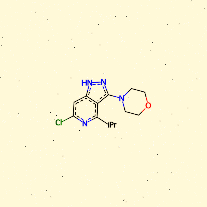 CC(C)c1nc(Cl)cc2[nH]nc(N3CCOCC3)c12